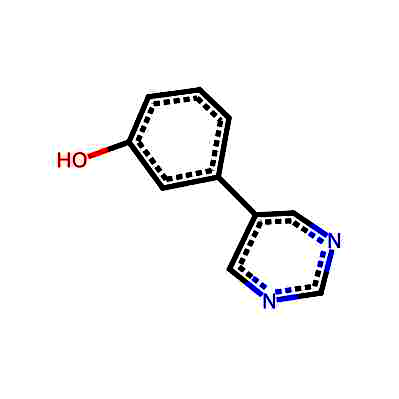 Oc1cccc(-c2cncnc2)c1